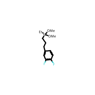 CC[Si](CCCc1ccc(F)c(F)c1)(OC)OC